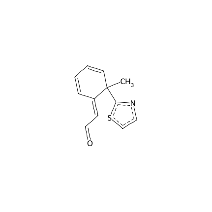 CC1(c2nccs2)C=CC=CC1=CC=O